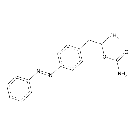 CC(Cc1ccc(N=Nc2ccccc2)cc1)OC(N)=O